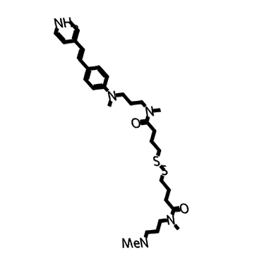 C/C=C(\C=C/N)/C=C/c1ccc(N(C)CCCN(C)C(=O)CCCSSCCCC(=O)N(C)CCCNC)cc1